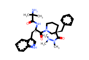 CN(C)N(C)C(=O)[C@@]1(Cc2ccccc2)CCCN(C(=O)[C@@H](Cc2c[nH]c3ccccc23)NC(=O)C(C)(C)N)C1